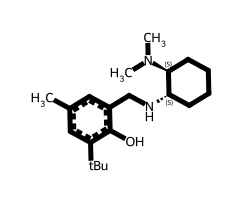 Cc1cc(CN[C@H]2CCCC[C@@H]2N(C)C)c(O)c(C(C)(C)C)c1